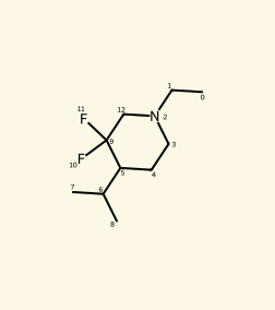 CCN1CCC(C(C)C)C(F)(F)C1